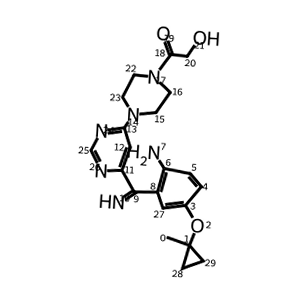 CC1(Oc2ccc(N)c(C(=N)c3cc(N4CCN(C(=O)CO)CC4)ncn3)c2)CC1